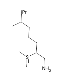 CC(C)C(C)CCCC(CN)[SH](C)C